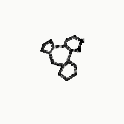 c1cc2cc3ccccc3c3nnccc3c-2c1